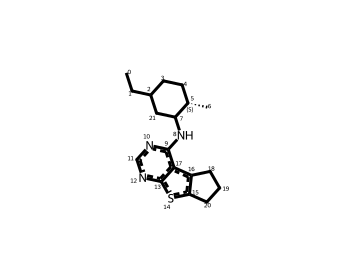 CCC1CC[C@H](C)C(Nc2ncnc3sc4c(c23)CCC4)C1